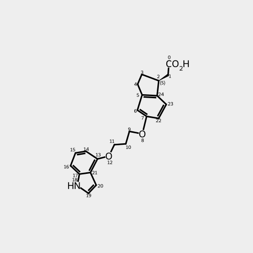 O=C(O)C[C@@H]1CCc2cc(OCCCOc3cccc4[nH]ccc34)ccc21